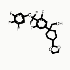 OCC1(c2cc(F)c(C(F)(F)Oc3cc(F)c(F)c(F)c3)c(F)c2)CCC(C2OCCO2)CC1